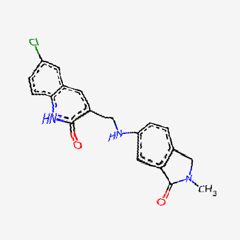 CN1Cc2ccc(NCc3cc4cc(Cl)ccc4[nH]c3=O)cc2C1=O